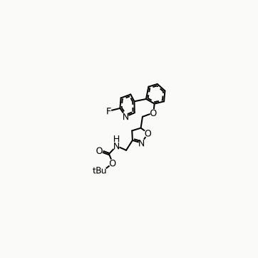 CC(C)(C)OC(=O)NCC1=NOC(COc2ccccc2-c2ccc(F)nc2)C1